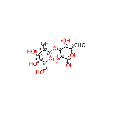 O=CC(O)C(O)C(O[C@@H]1O[C@H](CO)[C@H](O)[C@H](O)[C@H]1O)C(O)CO